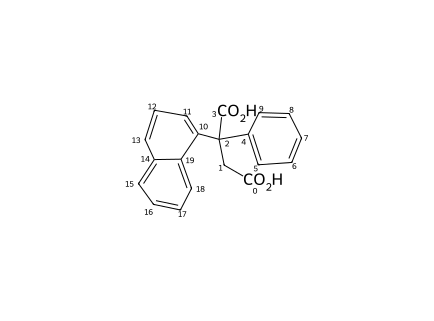 O=C(O)CC(C(=O)O)(c1ccccc1)c1cccc2ccccc12